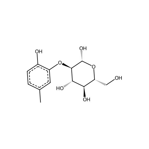 Cc1ccc(O)c(O[C@@H]2[C@@H](O)[C@H](O)[C@@H](CO)O[C@H]2O)c1